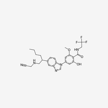 CCCCC(CNCC#N)c1ccc2c(c1)ncn2-c1cc(O)c(C(=O)NCC(F)(F)F)c(OC)c1